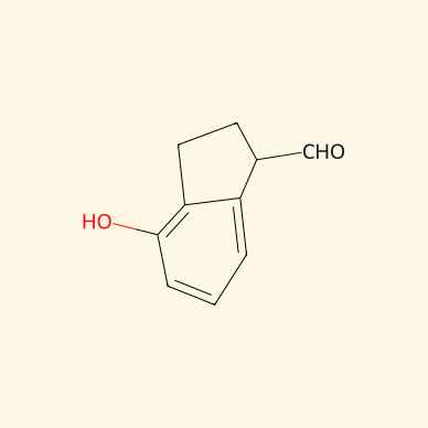 O=CC1CCc2c(O)cccc21